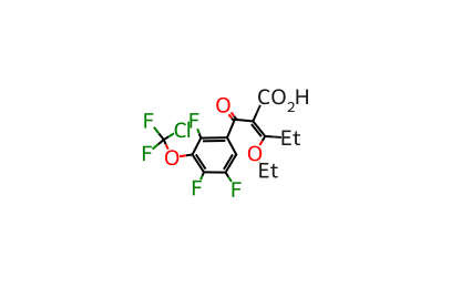 CCOC(CC)=C(C(=O)O)C(=O)c1cc(F)c(F)c(OC(F)(F)Cl)c1F